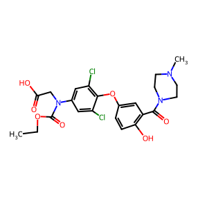 CCOC(=O)N(CC(=O)O)c1cc(Cl)c(Oc2ccc(O)c(C(=O)N3CCN(C)CC3)c2)c(Cl)c1